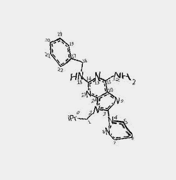 CC(C)Cn1c(-n2cccn2)nc2c(N)nc(NCc3ccccc3)nc21